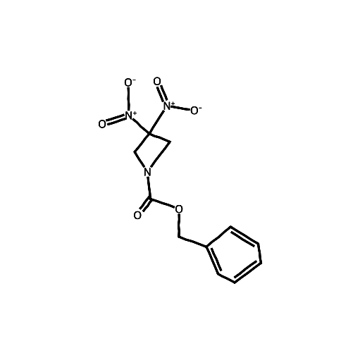 O=C(OCc1ccccc1)N1CC([N+](=O)[O-])([N+](=O)[O-])C1